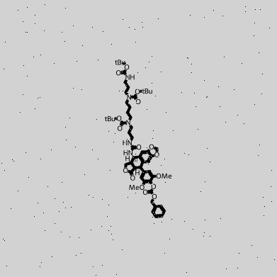 COc1cc(C2c3cc4c(cc3[C@@H](NC(=O)NCCCN(CCCCN(CCCNC(=O)OC(C)(C)C)C(=O)OC(C)(C)C)C(=O)OC(C)(C)C)[C@H]3COC(=O)[C@H]23)OCO4)cc(OC)c1OC(=O)OCc1ccccc1